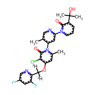 [2H]C([2H])(Oc1cc(C)n(-c2cc(-n3cccc(C(C)(C)O)c3=O)ncc2C)c(=O)c1Cl)c1ncc(F)cc1F